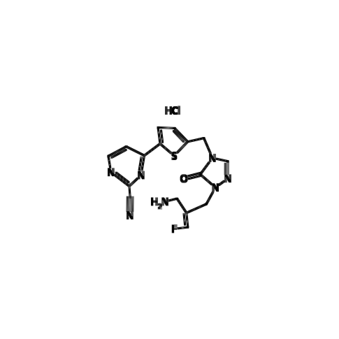 Cl.N#Cc1nccc(-c2ccc(Cn3cnn(C/C(=C/F)CN)c3=O)s2)n1